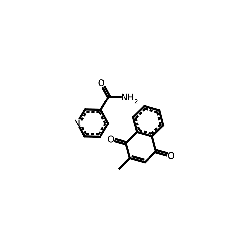 CC1=CC(=O)c2ccccc2C1=O.NC(=O)c1cccnc1